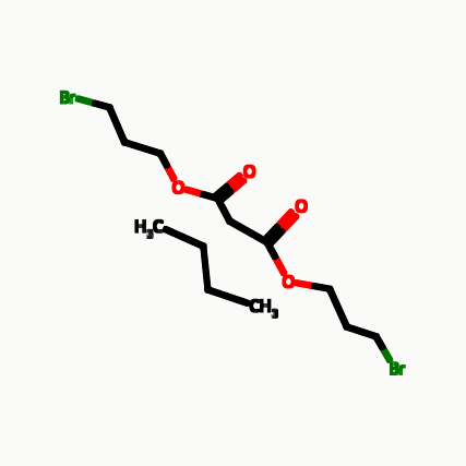 CCCC.O=C(CC(=O)OCCCBr)OCCCBr